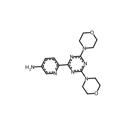 Nc1ccc(-c2nc(N3CCOCC3)nc(N3CCOCC3)n2)nc1